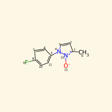 Cc1ccn(-c2ccc(F)cc2)[n+]1[O-]